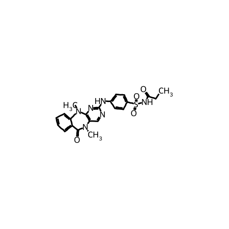 CCC(=O)NS(=O)(=O)c1ccc(Nc2ncc3c(n2)N(C)c2ccccc2C(=O)N3C)cc1